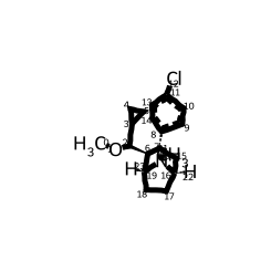 COC(C1CC1)[C@H]1[C@H](c2ccc(Cl)cc2)C[C@H]2CC[C@@H]1N2C